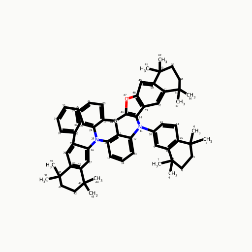 CC1(C)CCC(C)(C)c2cc(N3c4cccc5c4B(c4ccccc4N5c4cc5c(cc4-c4ccccc4)C(C)(C)CCC5(C)C)c4oc5cc6c(cc5c43)C(C)(C)CCC6(C)C)ccc21